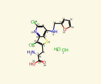 Cl.Cl.N[C@H](Cc1sc2c(NCc3ccco3)cc(Cl)nc2c1Cl)C(=O)O